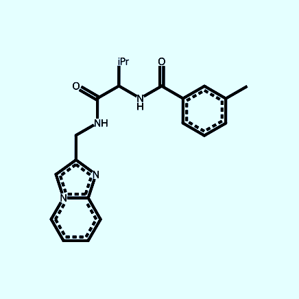 Cc1cccc(C(=O)NC(C(=O)NCc2cn3ccccc3n2)C(C)C)c1